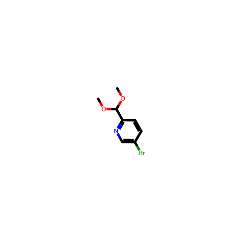 COC(OC)c1ccc(Br)cn1